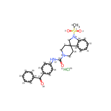 CS(=O)(=O)N1CC2(CCN(C(=O)Nc3ccc(C(=O)c4ccccc4)cc3)CC2)c2ccccc21.Cl